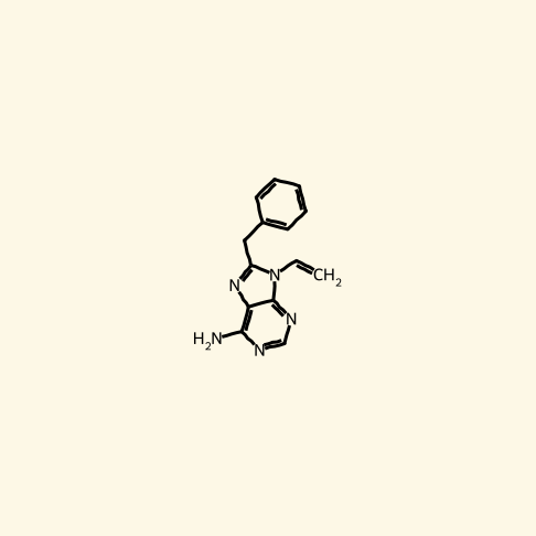 C=Cn1c(Cc2ccccc2)nc2c(N)ncnc21